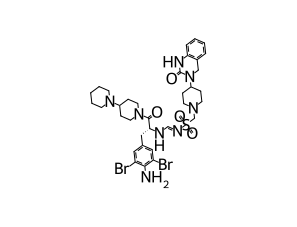 Nc1c(Br)cc(C[C@@H](NC=NS(=O)(=O)CN2CCC(N3Cc4ccccc4NC3=O)CC2)C(=O)N2CCC(N3CCCCC3)CC2)cc1Br